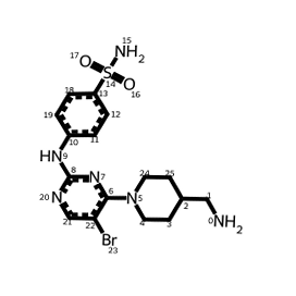 NCC1CCN(c2nc(Nc3ccc(S(N)(=O)=O)cc3)ncc2Br)CC1